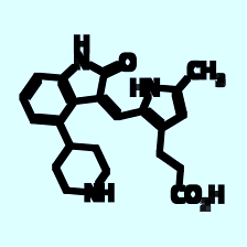 Cc1cc(CCC(=O)O)c(C=C2C(=O)Nc3cccc(C4CCNCC4)c32)[nH]1